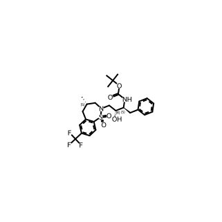 C[C@H]1Cc2cc(C(F)(F)F)ccc2S(=O)(=O)N(C[C@@H](O)[C@H](Cc2ccccc2)NC(=O)OC(C)(C)C)C1